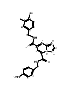 CC(=O)Nc1ccc(CNC(=O)c2cc(C(=O)NCc3ccc(F)c(C)c3)nc3ncnn23)cc1